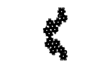 c1cc(-c2c3ccccc3c(-c3ccc(-c4cccc5c4oc4ccccc45)cc3)c3ccccc23)c2ccc(-c3ccc4c(-c5c6ccccc6c(-c6ccc7oc8ccccc8c7c6)c6ccccc56)cccc4c3)cc2c1